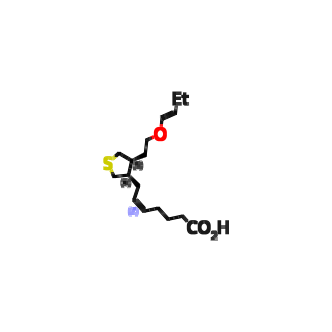 CCC=COCC[C@@H]1CSC[C@@H]1C/C=C\CCCC(=O)O